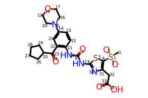 CS(=O)(=O)c1sc(NC(=O)Nc2ccc(N3CCOCC3)cc2C(=O)C2CCCC2)nc1CC(=O)O